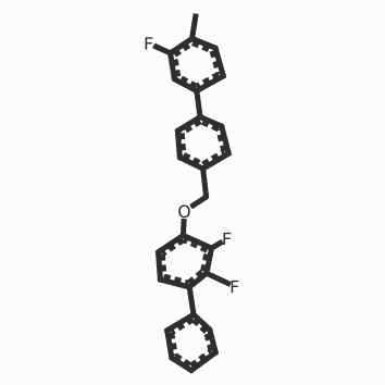 Cc1ccc(-c2ccc(COc3ccc(-c4ccccc4)c(F)c3F)cc2)cc1F